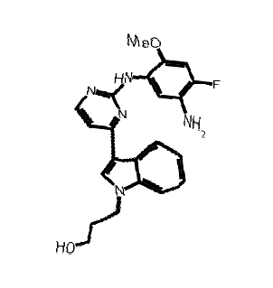 COc1cc(F)c(N)cc1Nc1nccc(-c2cn(CCCO)c3ccccc23)n1